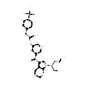 O=CCC(CO)n1cc(C(=O)c2cncc(NC(=O)Cc3ccc(C(F)(F)F)cc3)c2)c2cncnc21